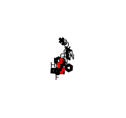 CC(C)(C)[Si](C)(C)OC[C@]1(C)Cn2ncc([S@](=O)(=NC(c3ccccc3)(c3ccccc3)c3ccccc3)NC(=O)Nc3c4c(c(F)c5c3CC5)CC4)c2O1